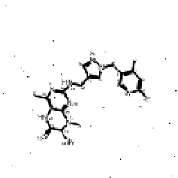 Cc1cc(F)ncc1Cn1cc(CNc2nc(C)c3c(n2)N(C)[C@@H](C(C)C)C(=O)N3)cn1